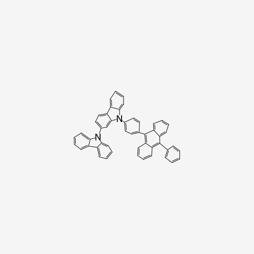 c1ccc(-c2c3ccccc3c(-c3ccc(-n4c5ccccc5c5ccc(-n6c7ccccc7c7ccccc76)cc54)cc3)c3ccccc23)cc1